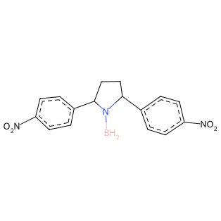 BN1C(c2ccc([N+](=O)[O-])cc2)CCC1c1ccc([N+](=O)[O-])cc1